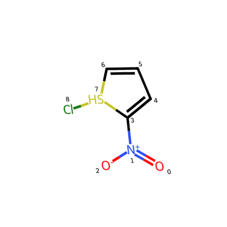 O=[N+]([O-])C1=CC=C[SH]1Cl